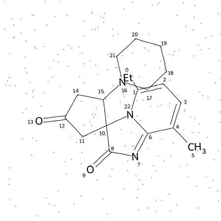 CCC1=CC=C(C)C2=NC(=O)C3(CC(=O)CC3N3CCCCC3)N12